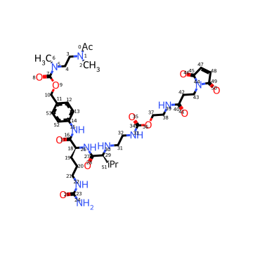 CC(=O)N(C)CCN(C)C(=O)OCc1ccc(NC(=O)[C@H](CCCNC(N)=O)NC(=O)[C@@H](NCCNC(=O)OCCNC(=O)CCN2C(=O)C=CC2=O)C(C)C)cc1